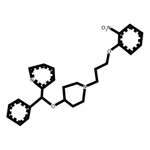 O=[N+]([O-])c1ccccc1OCCCN1CCC(OC(c2ccccc2)c2ccccn2)CC1